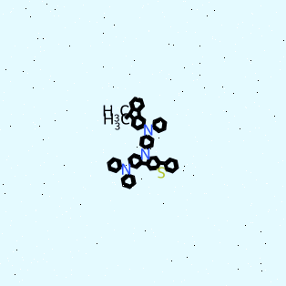 CC1(C)c2ccccc2-c2cc(N(c3ccccc3)c3ccc(-n4c5ccc(N(c6ccccc6)c6ccccc6)cc5c5cc6sc7ccccc7c6cc54)cc3)ccc21